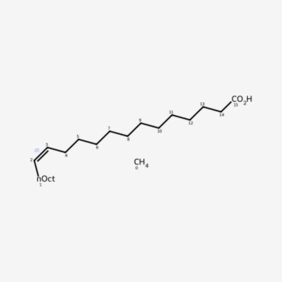 C.CCCCCCCC/C=C\CCCCCCCCCCCC(=O)O